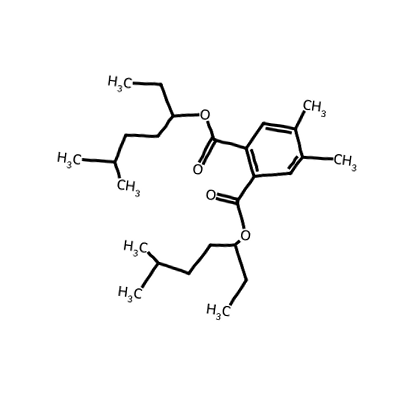 CCC(CCC(C)C)OC(=O)c1cc(C)c(C)cc1C(=O)OC(CC)CCC(C)C